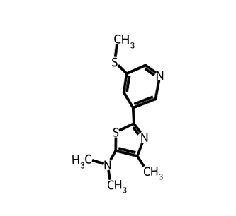 CSc1cncc(-c2nc(C)c(N(C)C)s2)c1